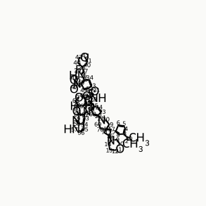 CC(C)c1ccccc1[C@@H]1COCCCN1C1CC2(CCN(c3ccc(C(=O)NS(=O)(=O)c4ccc(NCC5(F)CCOCC5)c([N+](=O)[O-])c4)c(N4c5cc6cc[nH]c6nc5O[C@H]5COCC[C@@H]54)c3)CC2)C1